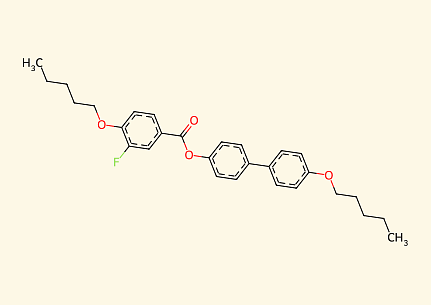 CCCCCOc1ccc(-c2ccc(OC(=O)c3ccc(OCCCCC)c(F)c3)cc2)cc1